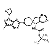 CC(C)(C)OC(=O)N[C@H]1c2cnccc2CC12CCN(c1cnc3c(I)nn(C4CCO4)c3n1)CC2